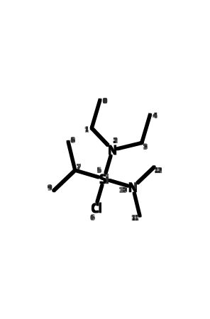 CCN(CC)[Si](Cl)(C(C)C)N(C)C